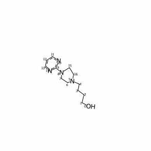 OCCCCN1CCN(c2ncccn2)CC1